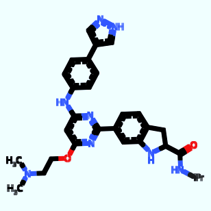 CC(C)NC(=O)C1Cc2ccc(-c3nc(Nc4ccc(-c5cn[nH]c5)cc4)cc(OCCN(C)C)n3)cc2N1